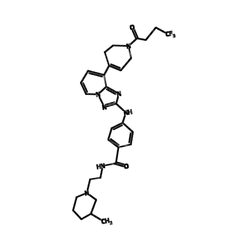 CC1CCCN(CCNC(=O)c2ccc(Nc3nc4c(C5=CCN(C(=O)CCC(F)(F)F)CC5)cccn4n3)cc2)C1